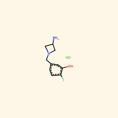 Cl.NC1CN(Cc2ccc(F)c(O)c2)C1